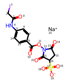 O=C(CI)Nc1ccc(C(=O)ON2C(=O)CC(S(=O)(=O)[O-])C2=O)cc1.[Na+]